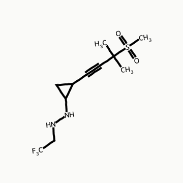 CC(C)(C#CC1CC1NNCC(F)(F)F)S(C)(=O)=O